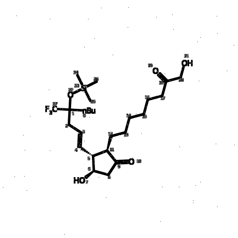 CCCCC(C/C=C/[C@H]1[C@H](O)CC(=O)[C@@H]1CCCCCCC(=O)CO)(O[Si](C)(C)C)C(F)(F)F